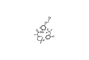 C[C@@H](C(=O)Nc1ccc(OCC2CC2)cn1)N1CCC(F)(F)[C@@H](c2ccc(=O)n(CC(F)(F)F)c2)C1